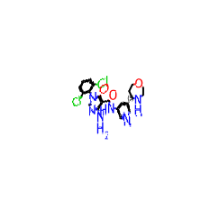 Nc1ncn(-c2c(Cl)cccc2Cl)c(=O)c1C(=O)Nc1cncc([C@@H]2CCOCCN2)c1